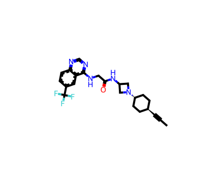 CC#C[C@H]1CC[C@H](N2CC(NC(=O)CNc3ncnc4ccc(C(F)(F)F)cc34)C2)CC1